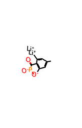 Cc1cc(C)c(C(=O)P([O-])[O-])c(C)c1.[Li+].[Li+]